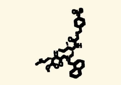 CC[C@H](C)[C@@H](CN(CC(=O)N[C@@H](CCSC)C(=O)OC)Cc1cccc2ccccc12)NC(=O)CSCc1ccc([N+](=O)[O-])cc1